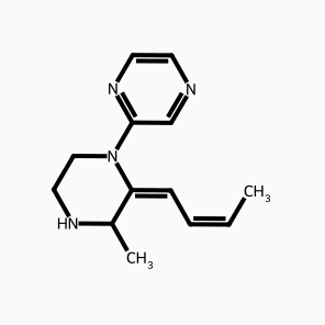 C/C=C\C=C1/C(C)NCCN1c1cnccn1